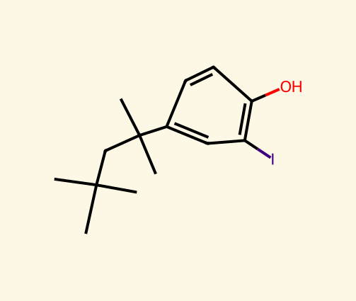 CC(C)(C)CC(C)(C)c1ccc(O)c(I)c1